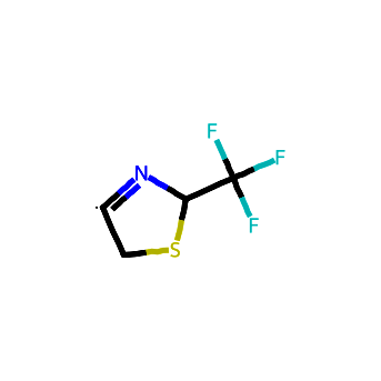 FC(F)(F)C1N=[C]CS1